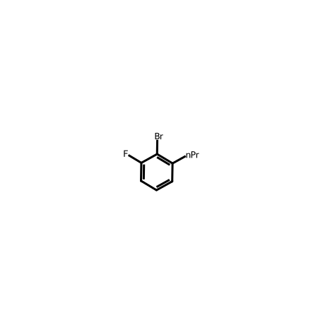 [CH2]CCc1cccc(F)c1Br